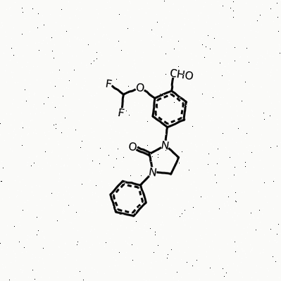 O=Cc1ccc(N2CCN(c3ccccc3)C2=O)cc1OC(F)F